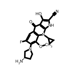 COc1c(N2CC[C@H](N)C2)c(F)cc2c(=O)c3c(O)c(C#N)[nH]c3n(C3CC3)c12